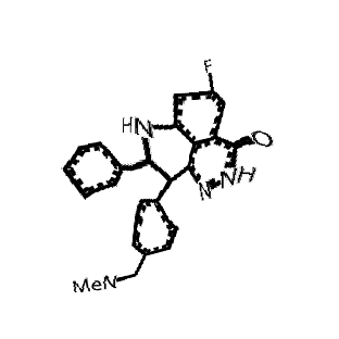 CNCc1ccc(C2c3n[nH]c(=O)c4cc(F)cc(c34)NC2c2ccccc2)cc1